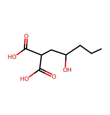 CCCC(O)CC(C(=O)O)C(=O)O